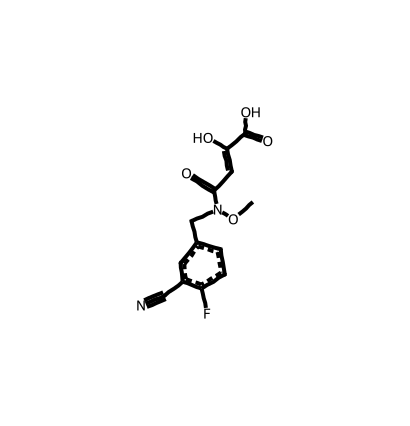 CON(Cc1ccc(F)c(C#N)c1)C(=O)C=C(O)C(=O)O